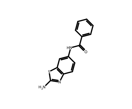 Nc1nc2ccc(NC(=O)c3ccccc3)cc2s1